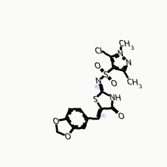 Cc1nn(C)c(Cl)c1S(=O)(=O)/N=C1\NC(=O)/C(=C/c2ccc3c(c2)OCO3)S1